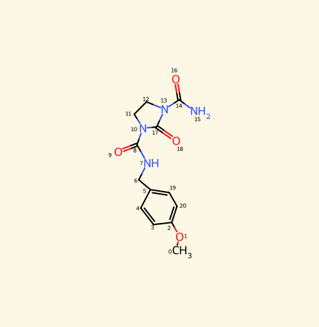 COc1ccc(CNC(=O)N2CCN(C(N)=O)C2=O)cc1